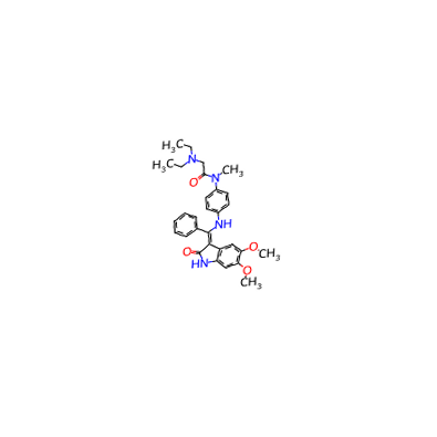 CCN(CC)CC(=O)N(C)c1ccc(NC(=C2C(=O)Nc3cc(OC)c(OC)cc32)c2ccccc2)cc1